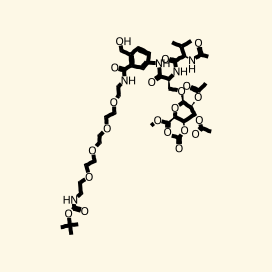 COC(=O)[C@H]1O[C@@H](OC[C@H](NC(=O)[C@@H](NC(C)=O)C(C)C)C(=O)Nc2ccc(CO)c(C(=O)NCCOCCOCCOCCOCCNC(=O)OC(C)(C)C)c2)[C@H](OC(C)=O)[C@@H](OC(C)=O)[C@@H]1OC(C)=O